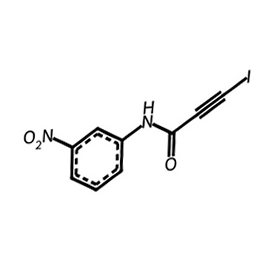 O=C(C#CI)Nc1cccc([N+](=O)[O-])c1